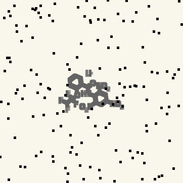 O=C(Nc1c([N+](=O)[O-])cc([N+](=O)[O-])cc1[N+](=O)[O-])c1ccccc1OC(F)(F)C(F)F.[Li]